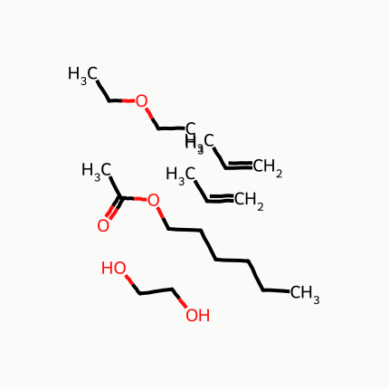 C=CC.C=CC.CCCCCCOC(C)=O.CCOCC.OCCO